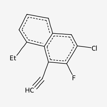 C#Cc1c(F)c(Cl)cc2cccc(CC)c12